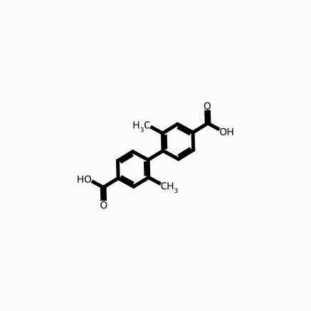 Cc1cc(C(=O)O)ccc1-c1ccc(C(=O)O)cc1C